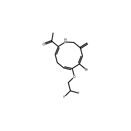 C=C1/C=C(Br)\C(OCC(F)F)=C/C/C=C(/C(C)=O)NC1